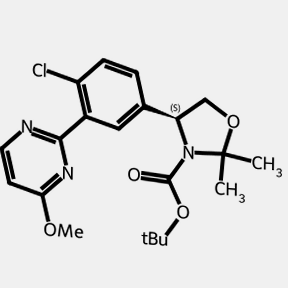 COc1ccnc(-c2cc([C@H]3COC(C)(C)N3C(=O)OC(C)(C)C)ccc2Cl)n1